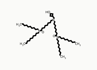 CCCCCCCCCCN(CCCCCCCCCC)C(=O)CCCCCCCN(CCCCCCCC(=O)N(CCCCCCCCCC)CCCCCCCCCC)CC1CC(O)C1